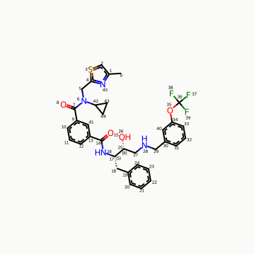 Cc1csc(CN(C(=O)c2cccc(C(=O)N[C@@H](Cc3ccccc3)[C@H](O)CNCc3cccc(OC(F)(F)F)c3)c2)C2CC2)n1